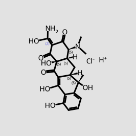 CN(C)[C@@H]1C(=O)/C(=C(\N)O)C(=O)[C@@]2(O)C(=O)C3=C(O)c4c(O)cccc4[C@@](C)(O)[C@H]3C[C@@H]12.[Cl-].[H+]